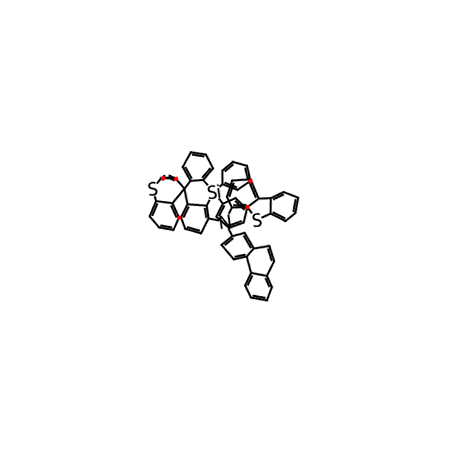 c1ccc([Si]2(c3ccccc3)c3ccccc3C3(c4ccccc4Sc4ccccc43)c3cccc(N(c4ccc5c(ccc6ccccc65)c4)c4cccc5c4sc4ccccc45)c32)cc1